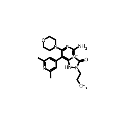 Cc1cc(-c2c(N3CCOCC3)nc(N)[n+]3c(=O)n(CCC(F)(F)F)[nH]c23)cc(C)n1